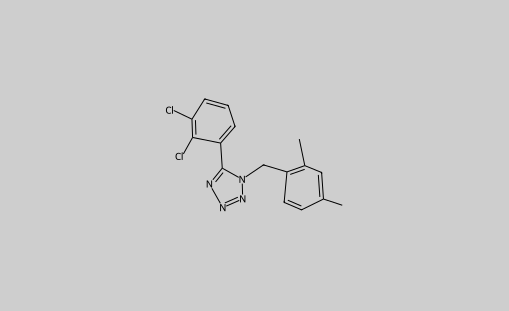 Cc1ccc(Cn2nnnc2-c2cccc(Cl)c2Cl)c(C)c1